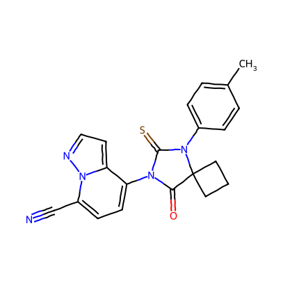 Cc1ccc(N2C(=S)N(c3ccc(C#N)n4nccc34)C(=O)C23CCC3)cc1